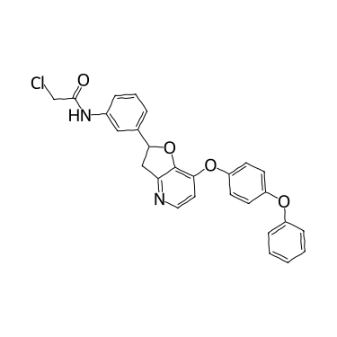 O=C(CCl)Nc1cccc(C2Cc3nccc(Oc4ccc(Oc5ccccc5)cc4)c3O2)c1